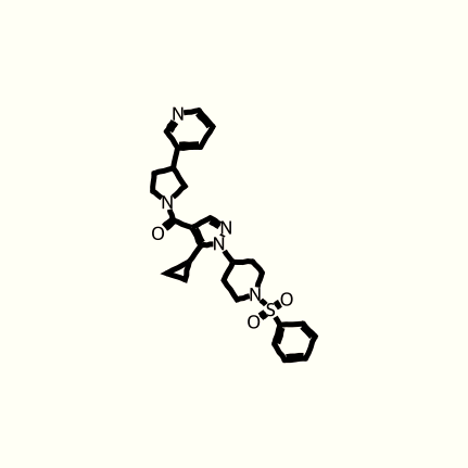 O=C(c1cnn(C2CCN(S(=O)(=O)c3ccccc3)CC2)c1C1CC1)N1CCC(c2cccnc2)C1